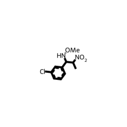 CONC(c1cccc(Cl)c1)C(C)[N+](=O)[O-]